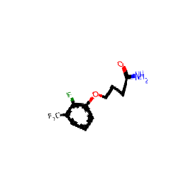 NC(=O)CCCOc1cccc(C(F)(F)F)c1F